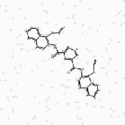 C=CCc1c(OC(=O)c2cccc(C(=O)Oc3ccc4ccccc4c3CC=C)c2)ccc2ccccc12